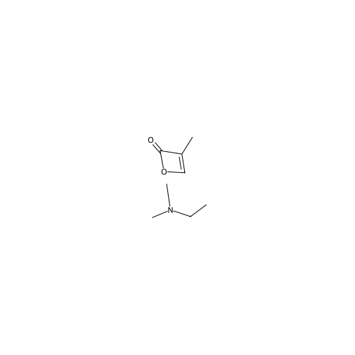 CC1=COC1=O.CCN(C)C